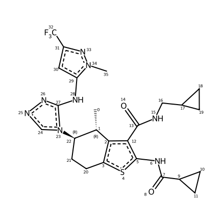 C[C@@H]1c2c(sc(NC(=O)C3CC3)c2C(=O)NCC2CC2)CC[C@H]1n1cnnc1Nc1cc(C(F)(F)F)nn1C